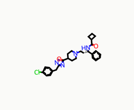 O=C(N[C@@H](CCN1CCC(c2nc(Cc3ccc(Cl)cc3)no2)CC1)c1ccccc1)C1CCC1